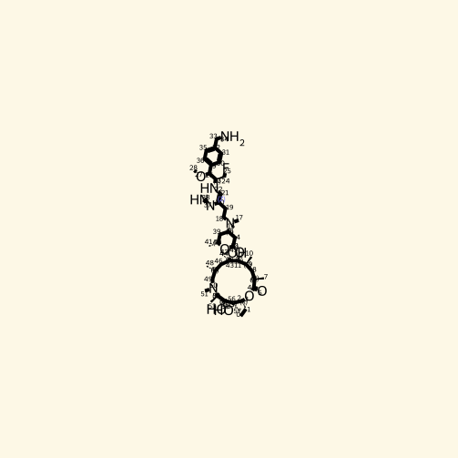 CC[C@H]1OC(=O)[C@H](C)C[C@H](C)[C@@H](O[C@H]2C[C@@H](N(C)CC/C(=C/N[C@H](CF)C(OC)c3ccc(CN)cc3)N=N)C[C@@H](C)O2)[C@](C)(O)C[C@@H](C)CN(C)[C@H](C)[C@@H](O)[C@]1(C)O